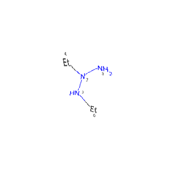 CCNN(N)CC